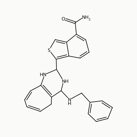 NC(=O)c1cccc2c(C3NC4=C(CC=CC=C4)C(NCc4ccccc4)N3)scc12